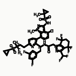 Cn1nc(NS(=O)(=O)C2(C)CC2)c2c(Cl)ccc(-c3ccc(CCC(C)(C)S(=O)(=O)C4CC4)nc3[C@H](Cc3cc(F)cc(F)c3)NC(=O)Cn3nc(C(F)F)c4c3C(F)(F)CCC4(F)F)c21